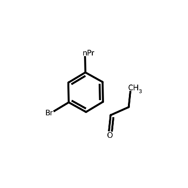 CCC=O.CCCc1cccc(Br)c1